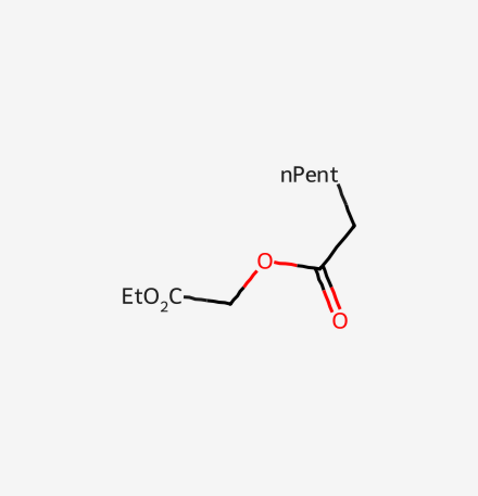 CCCCCCC(=O)OCC(=O)OCC